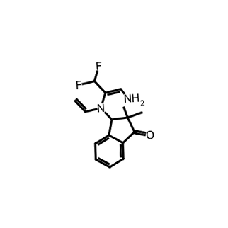 C=CN(/C(=C\N)C(F)F)C1c2ccccc2C(=O)C1(C)C